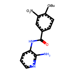 CC(C)COc1ccc(C(=O)Nc2cccnc2N)cc1[N+](=O)[O-]